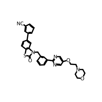 N#Cc1cccc(-c2ccc3sc(=O)n(Cc4cccc(-c5ncc(OCCN6CCOCC6)cn5)c4)c3c2)c1